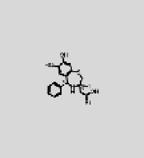 CCC(O)C[C@@]1(CC)CSc2cc(O)c(O)cc2[C@H](c2ccccc2)N1